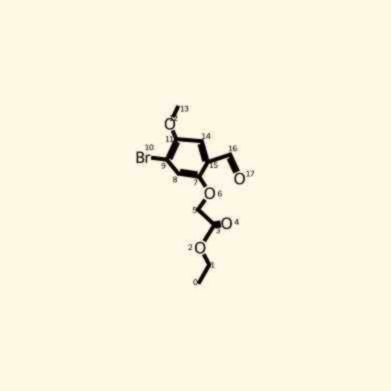 CCOC(=O)COc1cc(Br)c(OC)cc1C=O